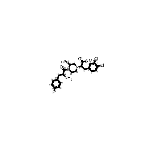 CCCC1CN(C(Cc2ccc(Cl)c(Cl)c2)C(=O)NC)CCN1C(=O)C(N)Cc1ccc(F)cc1